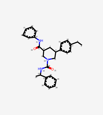 CCc1ccc(C2CC(C(=O)Nc3ccccc3)CN(C(=O)NC(C)c3ccccc3)C2)cc1